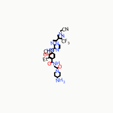 CCc1cc(Nc2nccn3c(-c4cn(CC#N)nc4C(F)(F)F)cnc23)ccc1C(=O)NCC(=O)N1CCC(N)CC1.O=CO